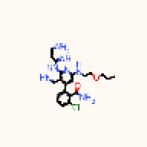 CCCOCCNc1cc(-c2cccc(Cl)c2C(N)=O)c(C=N)c(NC(=N)/C=C\N)n1